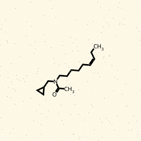 CC/C=C\CCCCCN(CC1CC1)C(C)=O